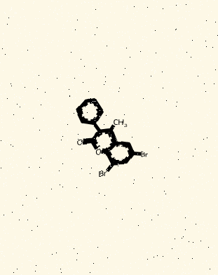 Cc1c(-c2ccccc2)c(=O)oc2c(Br)cc(Br)cc12